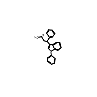 O=C(O)CC(c1ccccc1)c1cn(-c2ccccc2)c2ccccc12